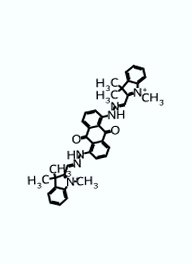 C[N+]1=C(C=NNc2cccc3c2C(=O)c2cccc(NN=CC4=[N+](C)c5ccccc5C4(C)C)c2C3=O)C(C)(C)c2ccccc21